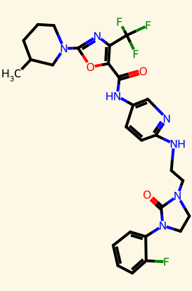 CC1CCCN(c2nc(C(F)(F)F)c(C(=O)Nc3ccc(NCCN4CCN(c5ccccc5F)C4=O)nc3)o2)C1